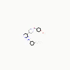 CNc1cccc(-c2nc3c(C4CCN(C(=O)c5ccc(OC(F)(F)F)cc5)CC4)ccnc3[nH]2)c1